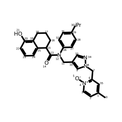 Cc1cc[n+]([O-])c(Cn2cc(CN(C(=O)C3CCCc4c(O)cccc43)c3ccc(C(C)C)cc3)cn2)c1